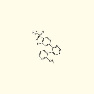 Cc1ncccc1-c1cccnc1-c1ccc(S(C)(=O)=O)c(F)c1